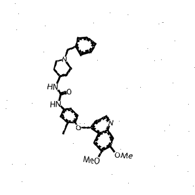 COc1cc2nccc(Oc3ccc(NC(=O)NC4CCN(Cc5ccccc5)CC4)cc3C)c2cc1OC